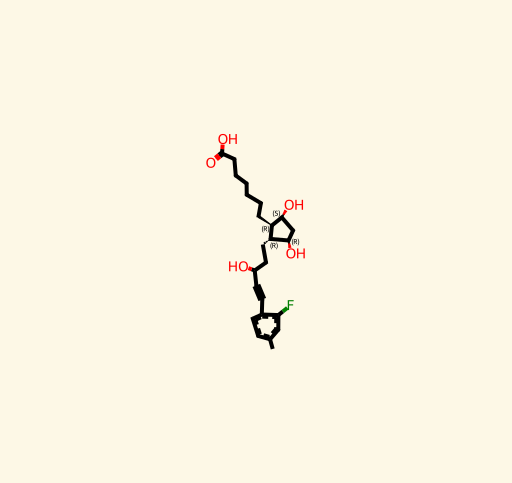 Cc1ccc(C#CC(O)CC[C@@H]2[C@@H](CCCCCCC(=O)O)[C@@H](O)C[C@H]2O)c(F)c1